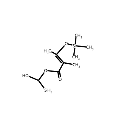 CC(O[Si](C)(C)C)=C(C)C(=O)OC(O)[SiH3]